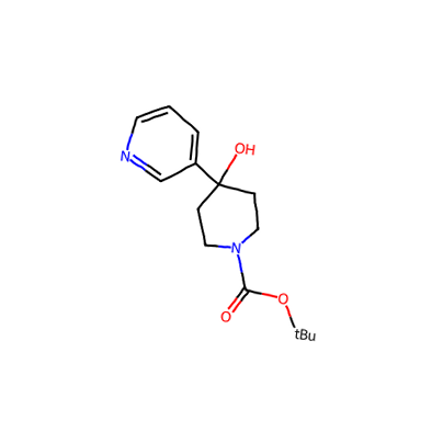 CC(C)(C)OC(=O)N1CCC(O)(c2cccnc2)CC1